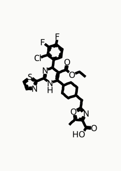 CCOC(=O)C1=C(C2CCC(Cc3nc(C(=O)O)c(C)o3)CC2)NC(c2nccs2)=NC1c1ccc(F)c(F)c1Cl